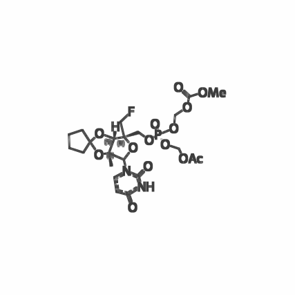 COC(=O)OCOP(=O)(OCOC(C)=O)OC[C@@]1(CF)OC(n2ccc(=O)[nH]c2=O)[C@]2(C)OC3(CCCC3)O[C@H]12